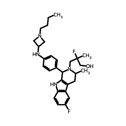 CCCCN1CC(Nc2ccc(C3c4[nH]c5ccc(F)cc5c4CC(C)N3CC(C)(F)CO)cc2)C1